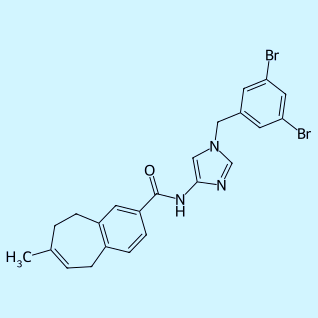 CC1=CCc2ccc(C(=O)Nc3cn(Cc4cc(Br)cc(Br)c4)cn3)cc2CC1